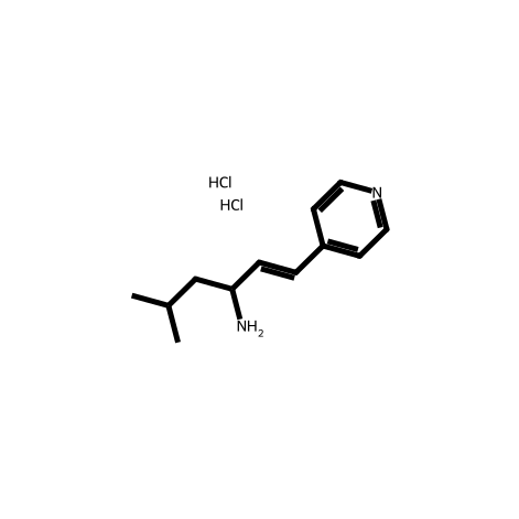 CC(C)CC(N)C=Cc1ccncc1.Cl.Cl